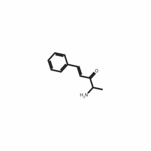 CC(N)C(=O)C=Cc1ccccc1